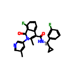 Cc1cncc(-n2c(C)c(C(=O)N[C@H](c3cccc(F)c3)C3CC3)c3cccc(F)c3c2=O)c1